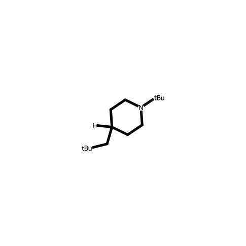 CC(C)(C)CC1(F)CCN(C(C)(C)C)CC1